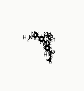 CC[C@@H]1C(=O)N(C)c2cc(-c3ccnc(N)c3)ccc2C(=O)N1Cc1cccc(C(=O)NCC2CC2)c1